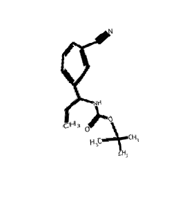 CCC(NC(=O)OC(C)(C)C)c1cccc(C#N)c1